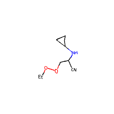 CCOOCC(C#N)NC1CC1